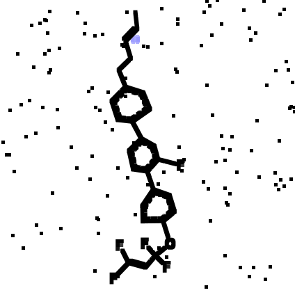 C/C=C/CCc1ccc(-c2ccc(-c3ccc(OC(F)(F)C=C(F)F)cc3)c(F)c2)cc1